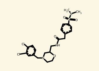 CN(C)S(=O)(=O)c1ccc(CC(=O)NCC2CN(Cc3ccc(Cl)c(Cl)c3)CCO2)cc1